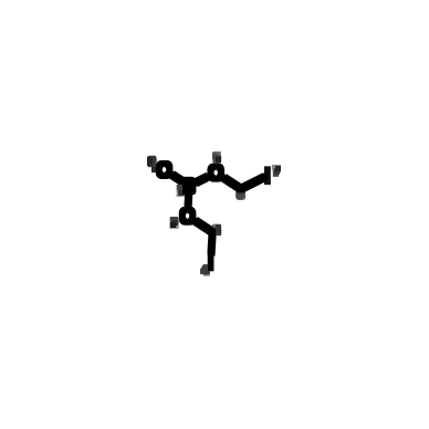 [O]B(OCI)OCI